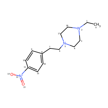 CCN1CCN(CCc2ccc([N+](=O)[O-])cc2)CC1